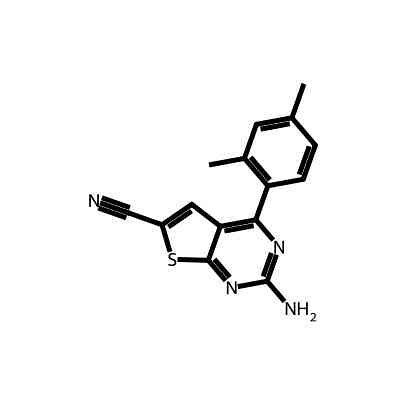 Cc1ccc(-c2nc(N)nc3sc(C#N)cc23)c(C)c1